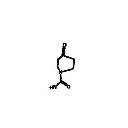 [NH]C(=O)N1CCC(=O)CC1